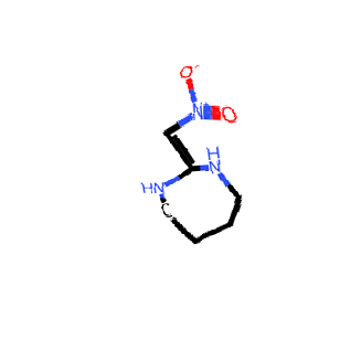 O=[N+]([O-])C=C1NCCCCN1